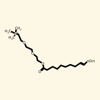 CCCCCCCCC=CCCCCCCCC(=O)OCCOCCOCC[N+](C)(C)C